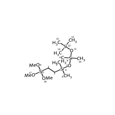 CO[Si](CC[Si](C)(C)O[Si](C)(C)O[Si](C)(C)C)(OC)OC